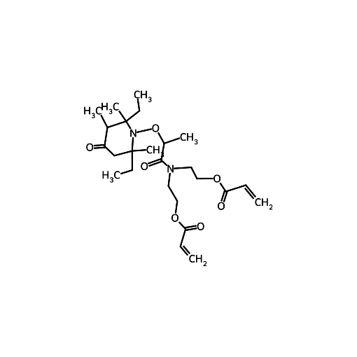 C=CC(=O)OCCN(CCOC(=O)C=C)C(=O)C(C)ON1C(C)(CC)CC(=O)C(C)C1(C)CC